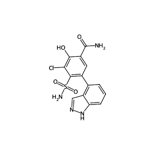 NC(=O)c1cc(-c2cccc3[nH]ncc23)c(S(N)(=O)=O)c(Cl)c1O